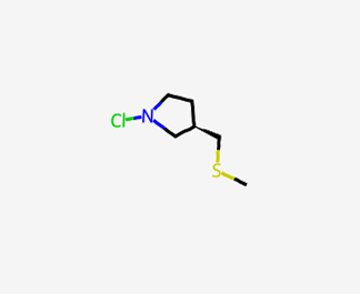 CSC[C@@H]1CCN(Cl)C1